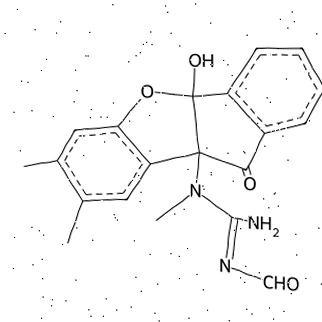 Cc1cc2c(cc1C)C1(N(C)C(N)=NC=O)C(=O)c3ccccc3C1(O)O2